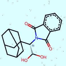 O=C1c2ccccc2C(=O)N1[C@H](C(O)O)C12CC3CC(CC(C3)C1)C2